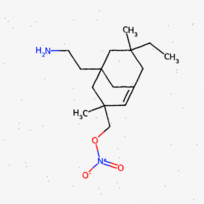 CCC1(C)CC2=CC(C)(CO[N+](=O)[O-])CC(CCN)(C2)C1